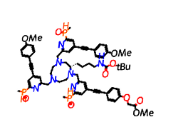 COC(=O)COc1ccc(C#Cc2cc(CN3CCN(Cc4cc(C#Cc5ccc(OC)cc5)cc([PH](C)=O)n4)CCN(Cc4cc(C#Cc5ccc(OC)cc5)cc([PH](C)=O)n4)C[C@@H]3CCCCNC(=O)OC(C)(C)C)nc([PH](C)=O)c2)cc1